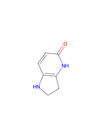 O=c1ccc2c([nH]1)CCN2